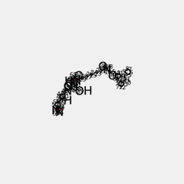 CC/C(=C(\c1ccccc1)c1ccc(OCCN(C)C(=O)CCCCCCCCCC(=O)N[C@H](C(=O)N2C[C@H](O)C[C@H]2C(=O)NCc2ccc(-c3ccc4ncncc4c3)cc2)C(C)(C)C)cc1)c1ccccc1